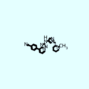 CN1CCCC[C@@H]1Cn1cc(Nc2nc3c(-c4ccc(C#N)cc4)cccn3n2)cn1